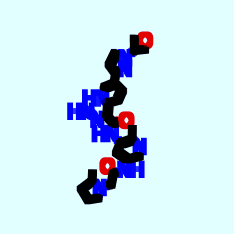 Cc1ncc(NC(=O)CN2CCCC2C)cc1NC(=O)/C(N=N)=C1\C=CC(c2ccn(C3COC3)n2)=CN1